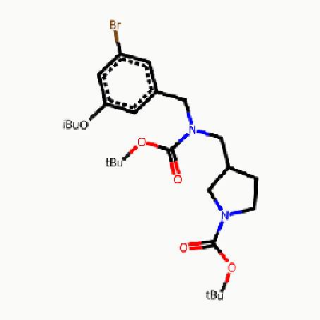 CC(C)COc1cc(Br)cc(CN(CC2CCN(C(=O)OC(C)(C)C)C2)C(=O)OC(C)(C)C)c1